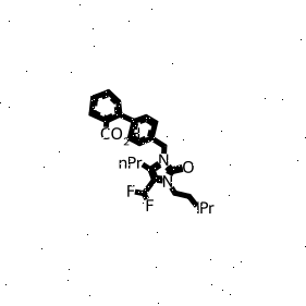 CCCc1c(C(F)F)n(CCC(C)C)c(=O)n1Cc1ccc(-c2ccccc2C(=O)O)cc1